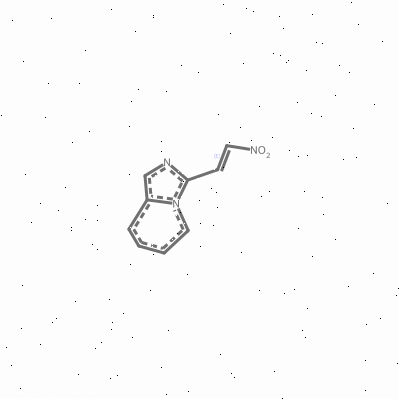 O=[N+]([O-])/C=C/c1ncc2ccccn12